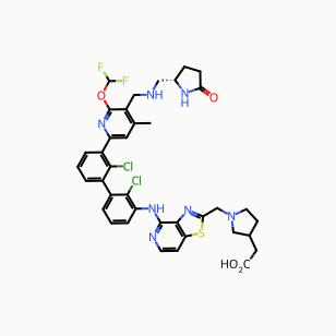 Cc1cc(-c2cccc(-c3cccc(Nc4nccc5sc(CN6CCC(CC(=O)O)C6)nc45)c3Cl)c2Cl)nc(OC(F)F)c1CNC[C@@H]1CCC(=O)N1